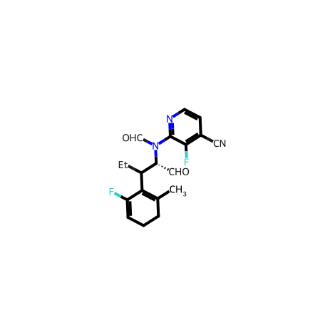 CCC(C1=C(C)CCC=C1F)[C@@H](C=O)N(C=O)c1nccc(C#N)c1F